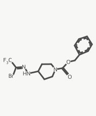 O=C(OCc1ccccc1)N1CCC(NN=C(Br)C(F)(F)F)CC1